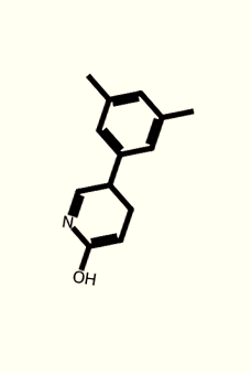 Cc1cc(C)cc(C2C=NC(O)=CC2)c1